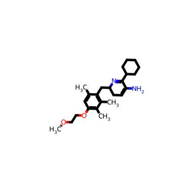 COCCOc1cc(C)c(CC2CC=C(N)C(C3CCCCC3)=N2)c(C)c1C